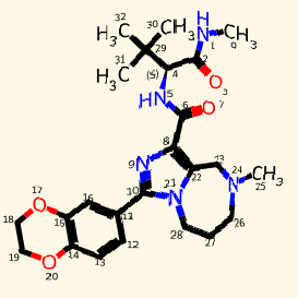 CNC(=O)[C@@H](NC(=O)c1nc(-c2ccc3c(c2)OCCO3)n2c1CN(C)CCC2)C(C)(C)C